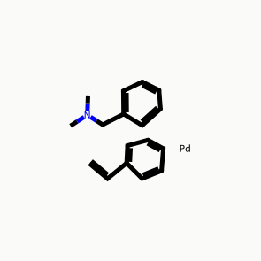 C=Cc1ccccc1.CN(C)Cc1ccccc1.[Pd]